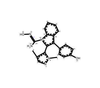 Cc1cnn(C)c1-c1c(-c2ccc(O)cc2)c2ccccc2n1/C(N)=N/O